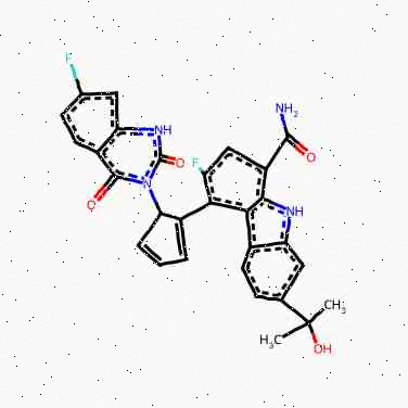 CC(C)(O)c1ccc2c(c1)[nH]c1c(C(N)=O)cc(F)c(C3=CC=CC3n3c(=O)[nH]c4cc(F)ccc4c3=O)c12